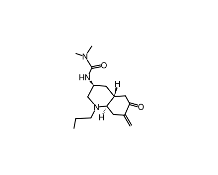 C=C1C[C@@H]2[C@@H](CC1=O)C[C@H](NC(=O)N(C)C)CN2CCC